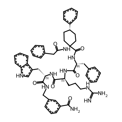 N=C(N)NCCC[C@H](NC(=O)[C@@H](Cc1ccccc1)NC(=O)[C@]1(NC(=O)Cc2ccccc2)CC[C@@H](c2ccccc2)CC1)C(=O)N[C@@H](Cc1c[nH]c2ccccc12)C(=O)NCc1cccc(C(N)=O)c1